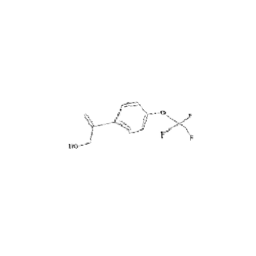 C=C(CO)c1ccc(OC(F)(F)F)cc1